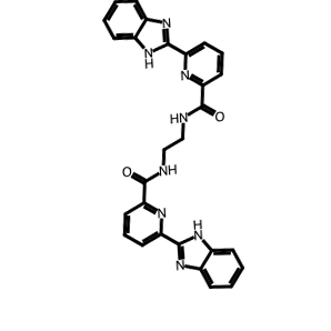 O=C(NCCNC(=O)c1cccc(-c2nc3ccccc3[nH]2)n1)c1cccc(-c2nc3ccccc3[nH]2)n1